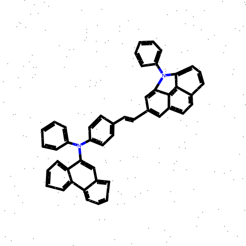 C(=C\c1cc2ccc3cccc4c3c2c(c1)n4-c1ccccc1)/c1ccc(N(c2ccccc2)c2cc3ccccc3c3ccccc23)cc1